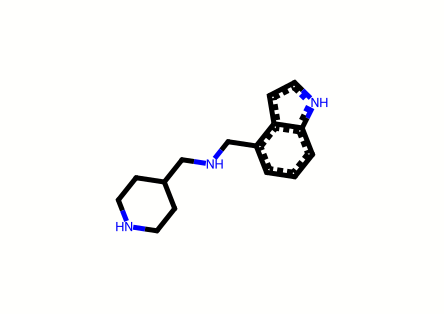 c1cc(CNCC2CCNCC2)c2cc[nH]c2c1